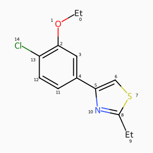 CCOc1cc(-c2csc(CC)n2)ccc1Cl